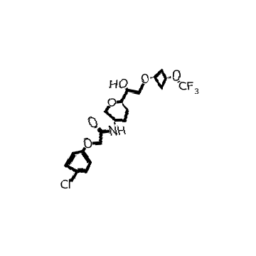 O=C(COc1ccc(Cl)cc1)N[C@H]1CC[C@H]([C@@H](O)CO[C@H]2C[C@@H](OC(F)(F)F)C2)OC1